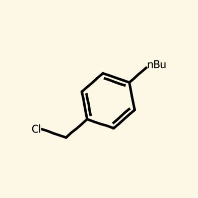 CCCCc1ccc(CCl)cc1